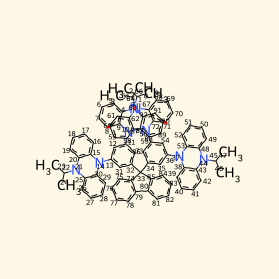 CC(C)N1c2ccccc2N(c2cc(N3c4ccccc4N(C(C)C)c4ccccc43)cc(C3(c4cc(N5c6ccccc6N(C(C)C)c6ccccc65)cc(N5c6ccccc6N(C(C)C)c6ccccc65)c4)c4ccccc4-c4ccccc43)c2)c2ccccc21